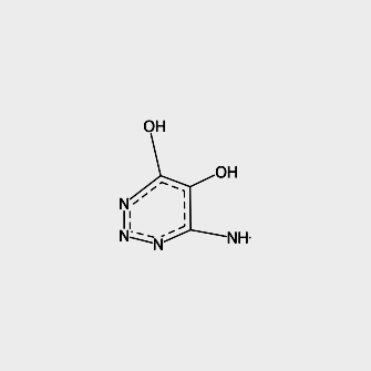 [NH]c1nnnc(O)c1O